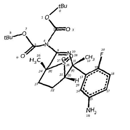 CC(C)(C)OC(=O)N(C(=O)OC(C)(C)C)C1=N[C@](C)(c2cc(N)ccc2F)[C@@H]2CC[C@@]1(C)S2(=O)=O